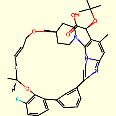 Cc1cc2nc3cn2c(c1[C@H](OC(C)(C)C)C(=O)O)N1CCC(C)(CC1)OC/C=C/C[C@H](C)Oc1c(F)cccc1-c1cccc-3c1